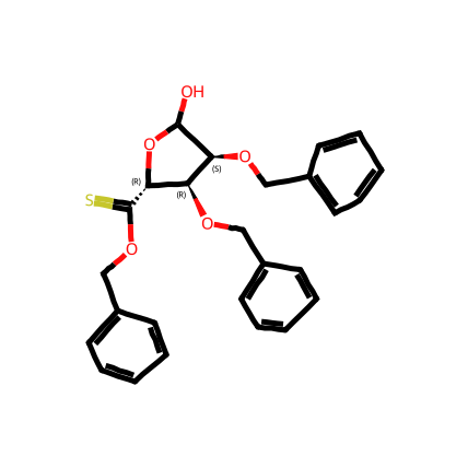 OC1O[C@@H](C(=S)OCc2ccccc2)[C@H](OCc2ccccc2)[C@@H]1OCc1ccccc1